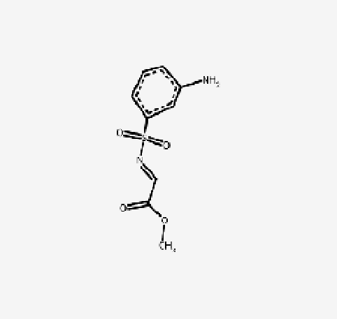 COC(=O)/C=N/S(=O)(=O)c1cccc(N)c1